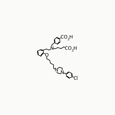 O=C(O)CCCCN(CCc1ccccc1OCCCCCN1CCN(c2ccc(Cl)cc2)CC1)Cc1ccc(C(=O)O)cc1